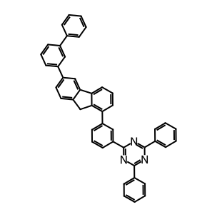 c1ccc(-c2cccc(-c3ccc4c(c3)-c3cccc(-c5cccc(-c6nc(-c7ccccc7)nc(-c7ccccc7)n6)c5)c3C4)c2)cc1